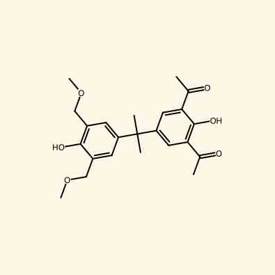 COCc1cc(C(C)(C)c2cc(C(C)=O)c(O)c(C(C)=O)c2)cc(COC)c1O